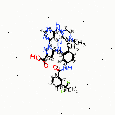 Cc1ccc(NC(=O)c2cccc(C(C)(F)F)c2)cc1Nc1cc(C(=O)O)nn1-c1cc(NN2CCN(C)CC2)ncn1